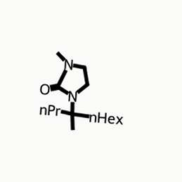 CCCCCCC(C)(CCC)N1CCN(C)C1=O